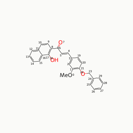 COc1cc(/C=C/C(=O)c2ccc3ccccc3c2O)ccc1OCc1ccccc1